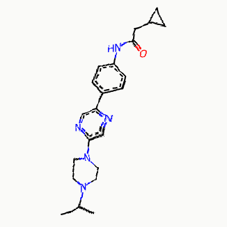 CC(C)N1CCN(c2cnc(-c3ccc(NC(=O)CC4CC4)cc3)cn2)CC1